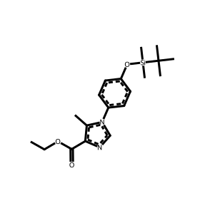 CCOC(=O)c1ncn(-c2ccc(O[Si](C)(C)C(C)(C)C)cc2)c1C